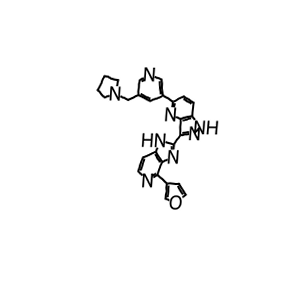 c1cc2[nH]c(-c3n[nH]c4ccc(-c5cncc(CN6CCCC6)c5)nc34)nc2c(-c2ccoc2)n1